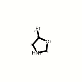 CCC1CN[CH]O1